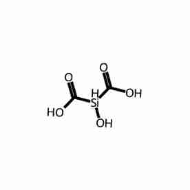 O=C(O)[SiH](O)C(=O)O